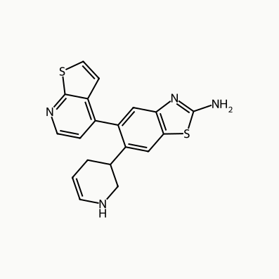 Nc1nc2cc(-c3ccnc4sccc34)c(C3CC=CNC3)cc2s1